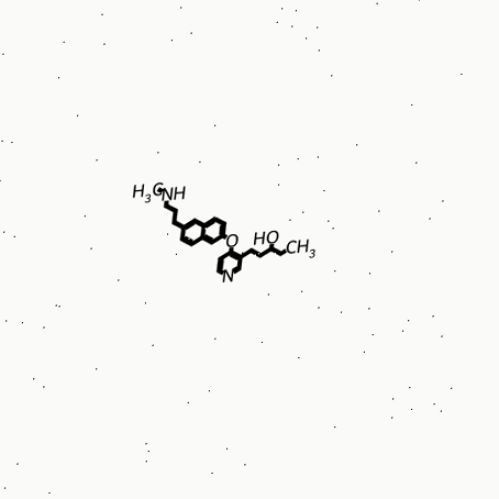 CCC(O)CCc1cnccc1Oc1ccc2cc(CCCNC)ccc2c1